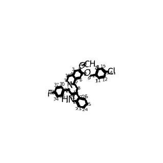 COc1cc2c(cc1OCc1ccc(Cl)cc1)C1Cc3c([nH]c4ccccc34)C(c3ccc(F)cc3)N1CC2